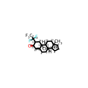 C[C@@]12CCC[C@H]1[C@@H]1CCC3=CC(=O)C(C(F)(F)C(F)(F)F)C[C@]3(C)[C@H]1CC2